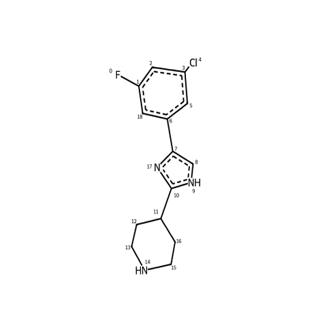 Fc1cc(Cl)cc(-c2c[nH]c(C3CCNCC3)n2)c1